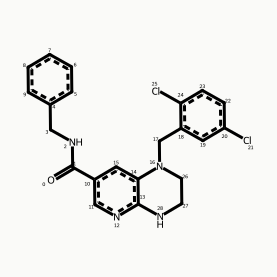 O=C(NCc1ccccc1)c1cnc2c(c1)N(Cc1cc(Cl)ccc1Cl)CCN2